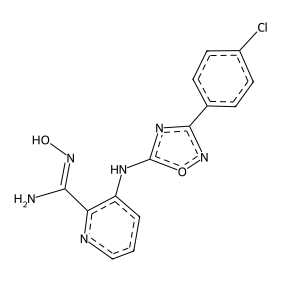 NC(=NO)c1ncccc1Nc1nc(-c2ccc(Cl)cc2)no1